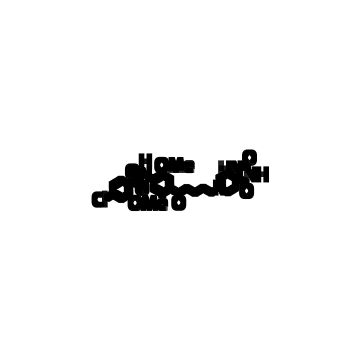 COc1cc(C(=O)CCCCN2CCC3(CC2)NC(=O)NC3=O)c(OC)cc1NS(=O)(=O)c1ccc(Cl)cc1